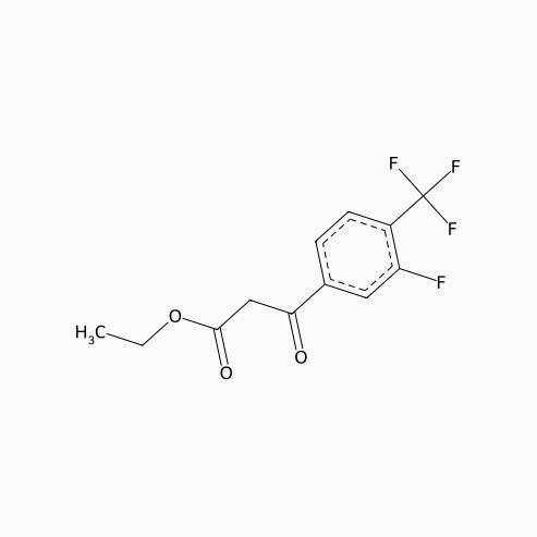 CCOC(=O)CC(=O)c1ccc(C(F)(F)F)c(F)c1